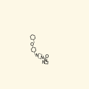 O=C(N1CCN(Cc2ccc(OCc3ccccc3)cc2)CC1)n1cccn1